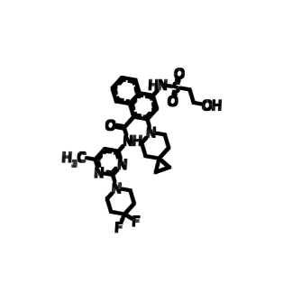 Cc1cc(NC(=O)c2c(N3CCC4(CC3)CC4)cc(NS(=O)(=O)CCO)c3ccccc23)nc(N2CCC(F)(F)CC2)n1